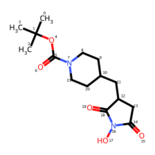 CC(C)(C)OC(=O)N1CCC(CC2CC(=O)N(O)C2=O)CC1